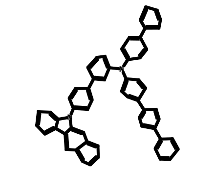 c1ccc(-c2ccc(-c3ccc(N(c4ccc(-c5ccccc5)cc4)c4cccc(-c5ccc(-n6c7ccccc7c7cc8ccccc8cc76)cc5)c4)cc3)cc2)cc1